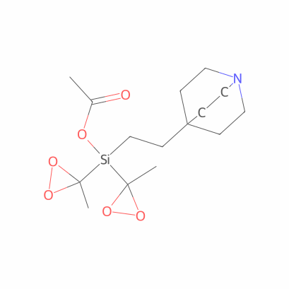 CC(=O)O[Si](CCC12CCN(CC1)CC2)(C1(C)OO1)C1(C)OO1